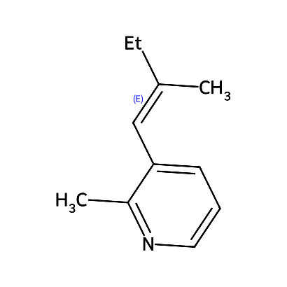 CC/C(C)=C/c1cccnc1C